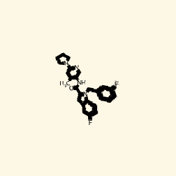 Cc1cc(N2CCCC2)ncc1NC(=O)c1cc2cc(F)ccc2n1Cc1cccc(F)c1